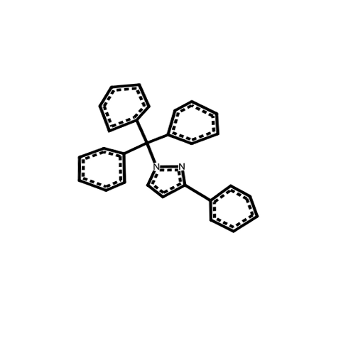 c1ccc(-c2ccn(C(c3ccccc3)(c3ccccc3)c3ccccc3)n2)cc1